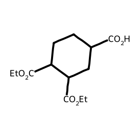 CCOC(=O)C1CCC(C(=O)O)CC1C(=O)OCC